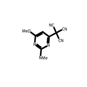 CNc1nc(OC)cc(C(C#N)(C#N)C#N)n1